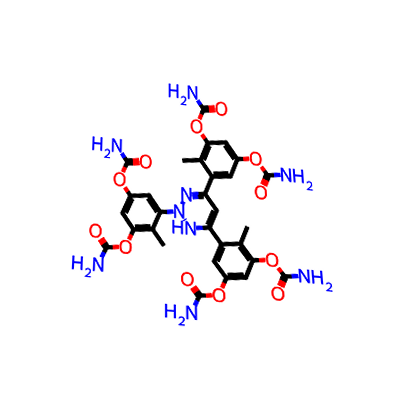 Cc1c(OC(N)=O)cc(OC(N)=O)cc1C1=CC(c2cc(OC(N)=O)cc(OC(N)=O)c2C)=NN(c2cc(OC(N)=O)cc(OC(N)=O)c2C)N1